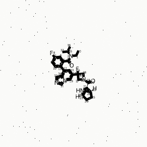 CCN(C(=O)c1cc(F)ccc1-c1cc(C2(F)CN(C(=O)[C@H]3N[C@@H]4CC[C@H]3C4)C2)cn2cncc12)C(C)C